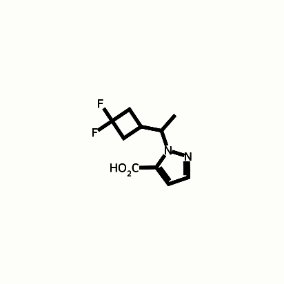 CC(C1CC(F)(F)C1)n1nccc1C(=O)O